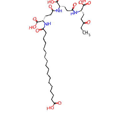 CCC(=O)CC[C@H](NC(=O)CC[C@H](NC(=O)CC[C@H](NC(=O)CCCCCCCCCCCCCCCCC(=O)O)C(=O)O)C(=O)O)C(=O)O